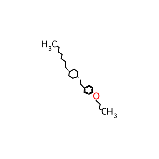 CCCCCCC[C@H]1CC[C@H](CCc2ccc(OCCCC)cc2)CC1